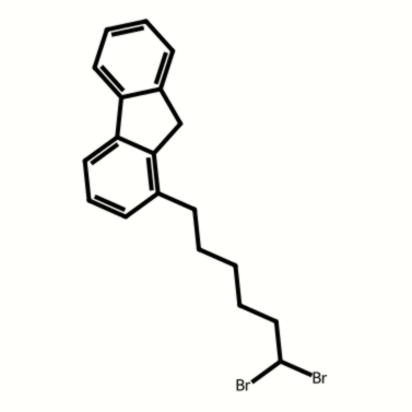 BrC(Br)CCCCCc1cccc2c1Cc1ccccc1-2